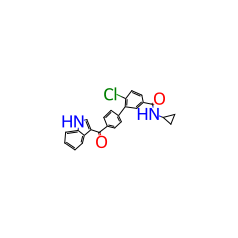 O=C(NC1CC1)c1ccc(Cl)c(-c2ccc(C(=O)c3c[nH]c4ccccc34)cc2)c1